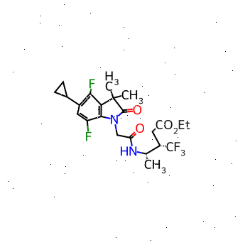 CCOC(=O)C[C@@H]([C@H](C)NC(=O)CN1C(=O)C(C)(C)c2c(F)c(C3CC3)cc(F)c21)C(F)(F)F